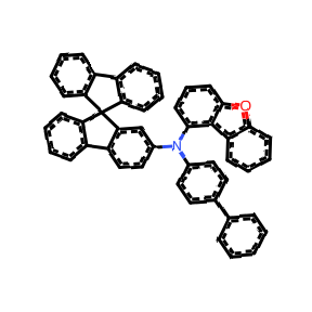 c1ccc(-c2ccc(N(c3ccc4c(c3)C3(c5ccccc5-c5ccccc53)c3ccccc3-4)c3cccc4oc5ccccc5c34)cc2)cc1